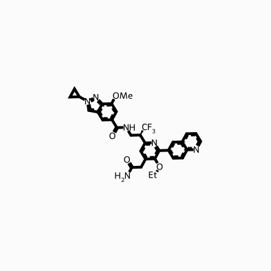 CCOc1c(CC(N)=O)cc([C@@H](CNC(=O)c2cc(OC)c3nn(C4CC4)cc3c2)C(F)(F)F)nc1-c1ccc2ncccc2c1